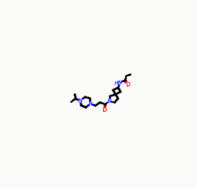 CCC(=O)NC1CC2(CCN(C(=O)CCN3CCN(C(C)C)CC3)C2)C1